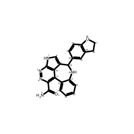 NC(=O)c1nnc2[nH]cc3c2c1-c1ccccc1NC3c1ccc2c(c1)CCO2